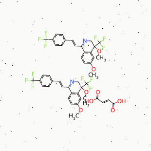 COc1ccc2c(c1)C(OC)(C(F)(F)F)CN=C2C=Cc1ccc(C(F)(F)F)cc1.COc1ccc2c(c1)C(OC)(C(F)(F)F)CN=C2C=Cc1ccc(C(F)(F)F)cc1.O=C(O)C=CC(=O)O